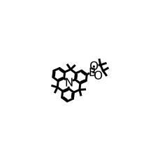 CC1(C)c2cccc3c2N2c4c1cccc4C(C)(C)c1cc(B4OC(C)(C)C(C)(C)O4)cc(c12)C3(C)C